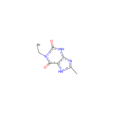 Cc1nc2[nH]c(=O)n(CC(C)C)c(=O)c2[nH]1